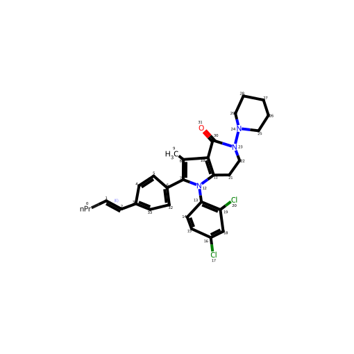 CCC/C=C/c1ccc(-c2c(C)c3c(n2-c2ccc(Cl)cc2Cl)CCN(N2CCCCC2)C3=O)cc1